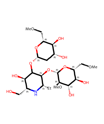 CC[C@@H]1N[C@H](CO)[C@@H](O)C(O[C@H]2C[C@@H](O)[C@H](O)[C@@H](COC)O2)[C@H]1O[C@@H]1O[C@H](COC)[C@@H](O)[C@H](O)[C@H]1OC